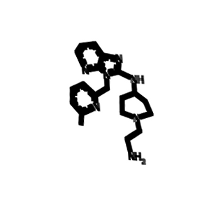 Cc1cccc(Cn2c(NC3CCN(CCN)CC3)nc3cccnc32)n1